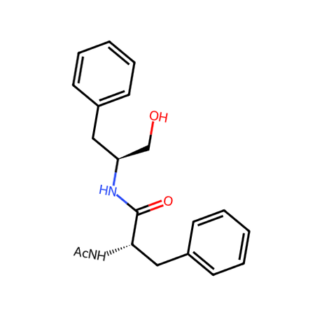 CC(=O)N[C@@H](Cc1ccccc1)C(=O)N[C@H](CO)Cc1ccccc1